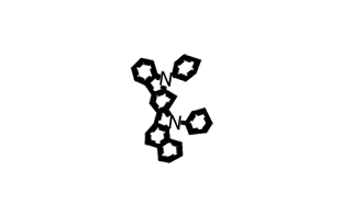 c1ccc(-n2c3ccccc3c3cc4c5ccc6ccccc6c5n(-c5ccccc5)c4cc32)cc1